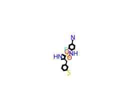 CSc1cccc(Cc2c[nH]cc2S(=O)(=O)Nc2ccc(C#N)cc2F)c1